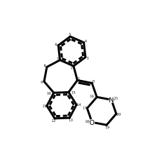 C(=C1c2ccccc2CCc2ccccc21)C1COCC[N]1